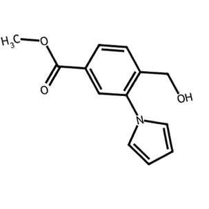 COC(=O)c1ccc(CO)c(-n2cccc2)c1